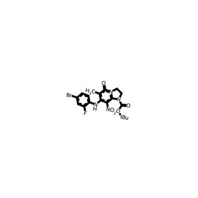 Cc1c(Nc2ccc(Br)cc2F)c([N+](=O)[O-])c2n(c1=O)CCN2C(=O)OC(C)(C)C